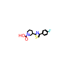 O=C(O)N1CCCC(c2nc(-c3ccc(F)cc3)cs2)C1